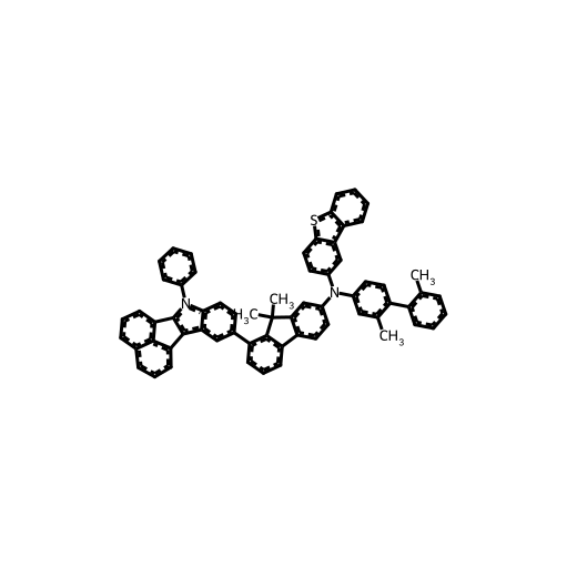 Cc1ccccc1-c1ccc(N(c2ccc3c(c2)C(C)(C)c2c(-c4ccc5c(c4)c4c(n5-c5ccccc5)-c5cccc6cccc-4c56)cccc2-3)c2ccc3sc4ccccc4c3c2)cc1C